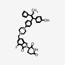 CCC(=C(c1ccc(O)cc1)c1ccc(N2CCN(Cc3cc(F)c4c(c3)CN(C3CCC(=O)NC3=O)C4=O)CC2)cc1)c1ccccc1